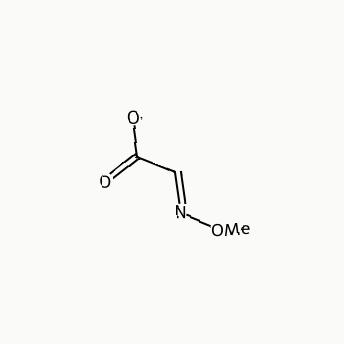 CON=CC([O])=O